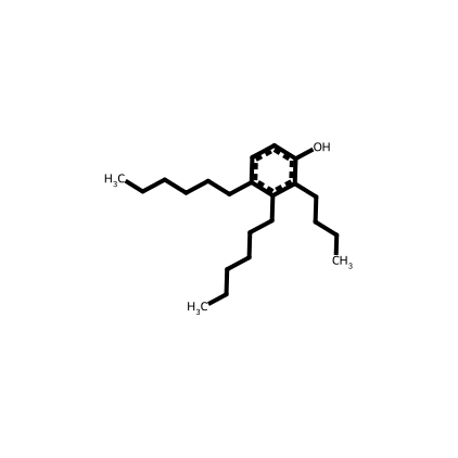 CCCCCCc1ccc(O)c(CCCC)c1CCCCCC